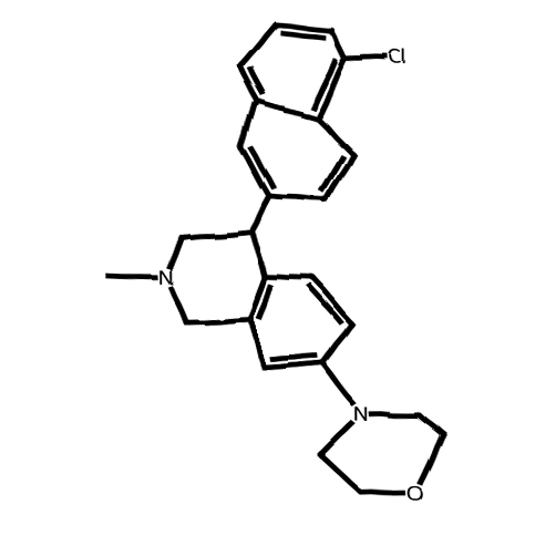 CN1Cc2cc(N3CCOCC3)ccc2C(c2ccc3c(Cl)cccc3c2)C1